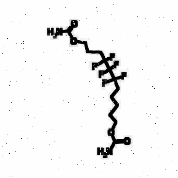 NC(=O)OCCCCCC(F)(F)C(F)(F)C(F)(F)CCCOC(N)=O